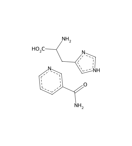 NC(=O)c1cccnc1.NC(Cc1c[nH]cn1)C(=O)O